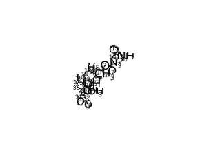 C[C@]12CC[C@H](OC(=O)N3CCNC(=O)C3)C[C@H]1CC[C@@H]1[C@@H]2C[C@@H](O)[C@]2(C)[C@@H](C3=CC(=O)OC3)CC[C@]12O